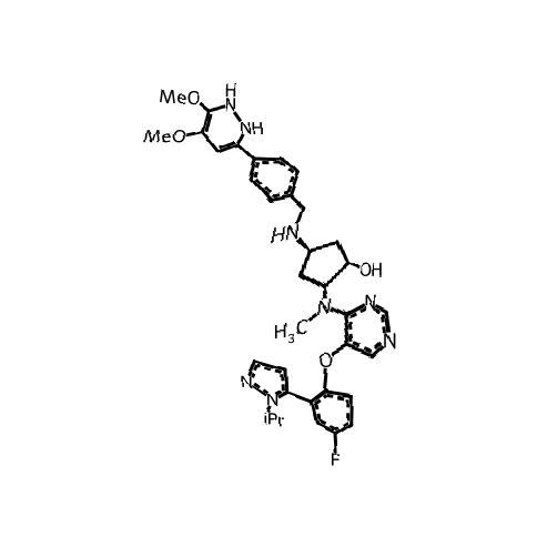 COC1=C(OC)NNC(c2ccc(CN[C@H]3C[C@@H](O)[C@@H](N(C)c4ncncc4Oc4ccc(F)cc4-c4ccnn4C(C)C)C3)cc2)=C1